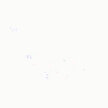 COC1C(OC(=O)N[C@@H](COC(=O)NCCCCCCN)C(C)C)CC[C@]2(CO2)C1C1(C)CC[C@@H]1CC=C(C)C